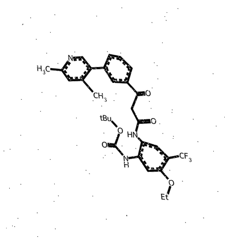 CCOc1cc(NC(=O)OC(C)(C)C)c(NC(=O)CC(=O)c2cccc(-c3cnc(C)cc3C)c2)cc1C(F)(F)F